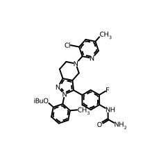 Cc1cnc(N2CCc3nn(-c4c(C)cccc4OCC(C)C)c(-c4ccc(NC(N)=O)c(F)c4)c3C2)c(Cl)c1